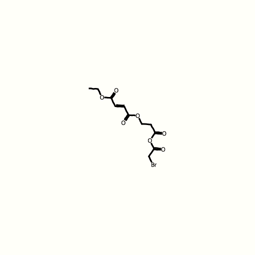 CCOC(=O)C=CC(=O)OCCC(=O)OC(=O)CBr